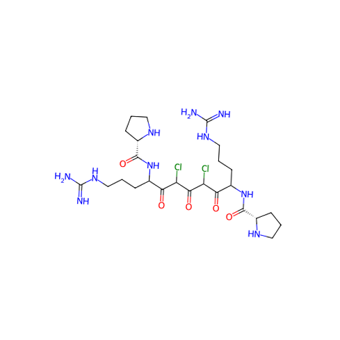 N=C(N)NCCCC(NC(=O)[C@@H]1CCCN1)C(=O)C(Cl)C(=O)C(Cl)C(=O)C(CCCNC(=N)N)NC(=O)[C@@H]1CCCN1